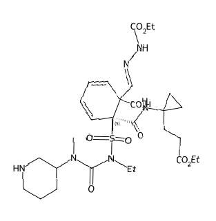 CCOC(=O)CCC1(NC(=O)[C@]2(S(=O)(=O)N(CC)C(=O)N(C)C3CCCNC3)C=CC=CC2(C=NNC(=O)OCC)C(=O)O)CC1